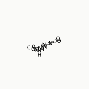 CCOC(=O)C1CCC2(CC1)CC(N1CCC(c3cnc(N4CCN5c6cc(-c7cccc(Cl)c7O)nnc6NC[C@@H]5C4)nc3)CC1)C2